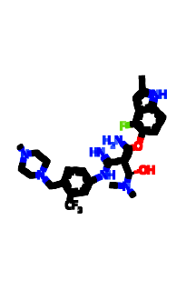 Cc1cc2c(F)c(O/C(N)=C(/C(=N)Nc3ccc(CN4CCN(C)CC4)c(C(F)(F)F)c3)[C@H](O)N(C)C)ccc2[nH]1